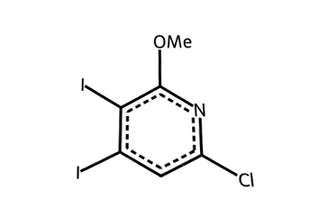 COc1nc(Cl)cc(I)c1I